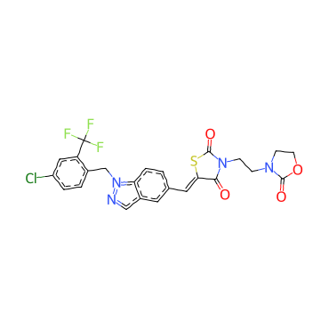 O=C1OCCN1CCN1C(=O)S/C(=C\c2ccc3c(cnn3Cc3ccc(Cl)cc3C(F)(F)F)c2)C1=O